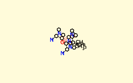 CC(C)(C)c1ccc(N2c3cc(-n4c5ccccc5c5ccccc54)ccc3B3c4ccc(-c5cc(C#N)ccc5N(c5ccccc5)c5ccccc5)cc4Oc4cc(-c5cc(C#N)ccc5-n5c6ccccc6c6ccccc65)cc2c43)c(-c2ccccc2)c1